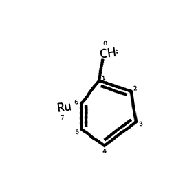 [CH]c1ccccc1.[Ru]